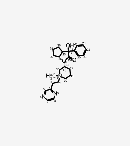 C[N+]1(CCc2cnccn2)CCC[C@@H](OC(=O)C(O)(c2ccccc2)C2CCCC2)C1